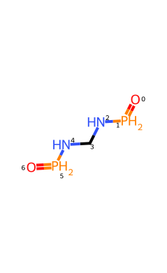 O=[PH2]NCN[PH2]=O